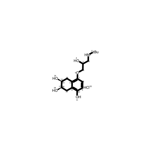 CC(C)(C)NCC(O)COc1ccc(O)c2c1C[C@H](O)[C@H](O)C2.Cl